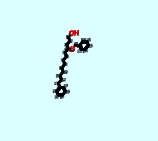 OCCCC(CCCCCCCCCc1ccccc1)OCc1ccccc1